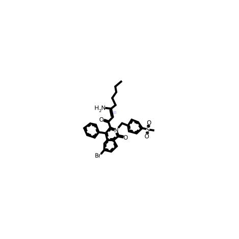 CCCCC/C(N)=C/C(=O)c1c(-c2ccccc2)c2cc(Br)ccc2c(=O)n1Cc1ccc(S(C)(=O)=O)cc1